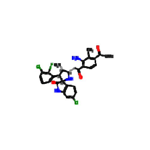 COC(=O)c1ccc(C(=O)C[C@@H]2N[C@@]3(C(=O)Nc4cc(Cl)ccc43)[C@@H](c3cccc(Cl)c3F)[C@@H]2[N+](=O)[O-])c(N)c1C